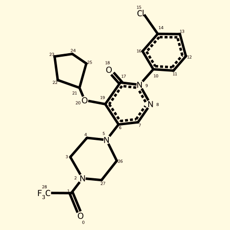 O=C(N1CCN(c2cnn(-c3cccc(Cl)c3)c(=O)c2OC2CCCC2)CC1)C(F)(F)F